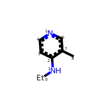 CCNc1ccn[c]c1C